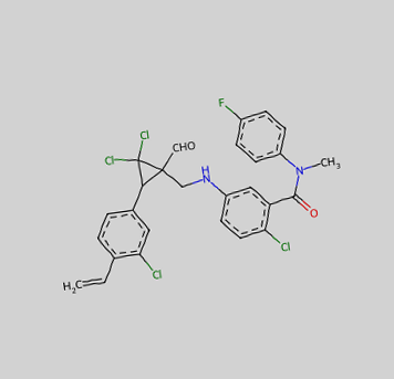 C=Cc1ccc(C2C(Cl)(Cl)C2(C=O)CNc2ccc(Cl)c(C(=O)N(C)c3ccc(F)cc3)c2)cc1Cl